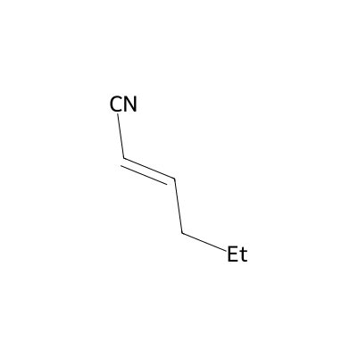 [CH2]CCC=CC#N